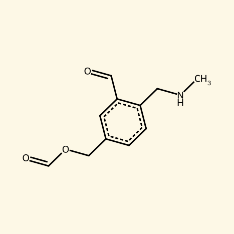 CNCc1ccc(COC=O)cc1C=O